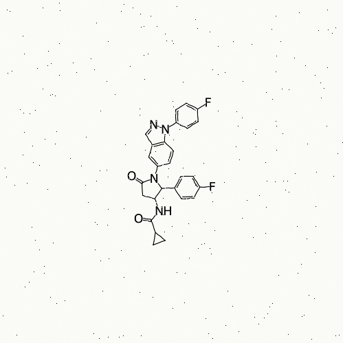 O=C(NC1CC(=O)N(c2ccc3c(cnn3-c3ccc(F)cc3)c2)C1c1ccc(F)cc1)C1CC1